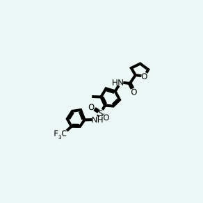 Cc1cc(NC(=O)C2CCCO2)ccc1S(=O)(=O)Nc1cccc(C(F)(F)F)c1